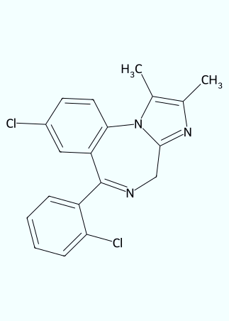 Cc1nc2n(c1C)-c1ccc(Cl)cc1C(c1ccccc1Cl)=NC2